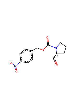 O=C[C@@H]1CCCN1C(=O)OCc1ccc([N+](=O)[O-])cc1